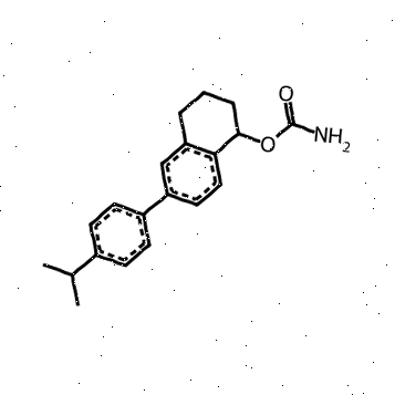 CC(C)c1ccc(-c2ccc3c(c2)CCCC3OC(N)=O)cc1